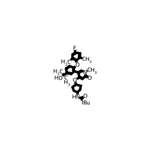 Cc1cc(F)cc(C)c1Oc1ccc(C(C)(C)O)cc1-c1cn(C)c(=O)cc1OC1CCC(NC(=O)C(C)(C)C)CC1